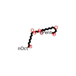 CCCCCCCCC1OC1CCCCCCCC(=O)OCCOC(=O)CCCCCCCC1OC1CC1OC1CCCCC